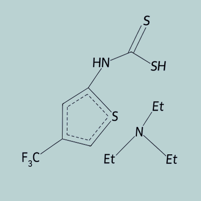 CCN(CC)CC.FC(F)(F)c1csc(NC(=S)S)c1